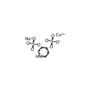 O=S(=O)([O-])[O-].O=S(=O)([O-])[O-].[Cu+2].[Na+].c1cc[nH+]cc1